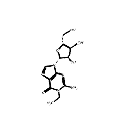 CCn1c(N)nc2c(ncn2[C@@H]2O[C@H](CO)[C@@H](O)[C@H]2O)c1=S